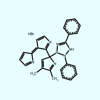 Br.CC1=CC(C2=NC=CC2=C2C=CC=N2)(N2N=C(c3ccccc3)NN2c2ccccc2)N=C1C